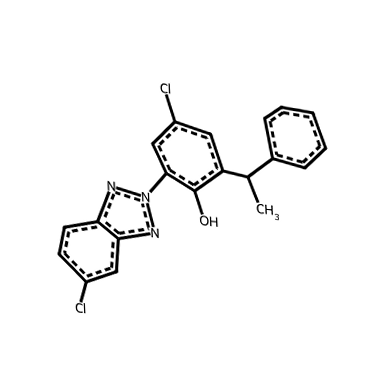 CC(c1ccccc1)c1cc(Cl)cc(-n2nc3ccc(Cl)cc3n2)c1O